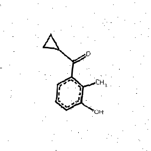 Cc1c(O)cccc1C(=O)C1CC1